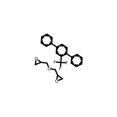 C(OCC1CO1)C1CO1.FC(F)(F)c1cc(-c2ccccc2)ccc1-c1ccccc1